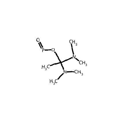 CN(C)C(C)(OP=O)N(C)C